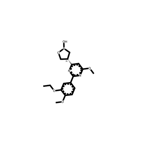 CCOc1cc(-c2nc(OC)cc([C@@H]3COB(O)C3)n2)ccc1OC